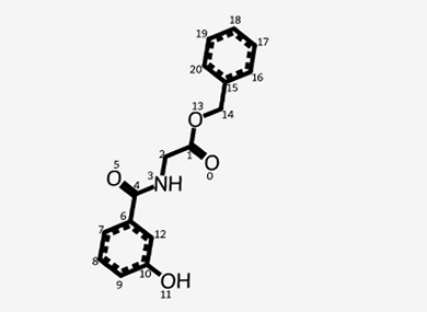 O=C(CNC(=O)c1cccc(O)c1)OCc1ccccc1